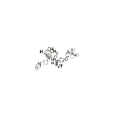 CC(C)(C)c1cc(NC(=O)Nc2ccc(Oc3ccnc4c3CCC(=O)N4)cc2C(F)(F)F)n(-c2cccc(CN3CCOCC3)c2)n1